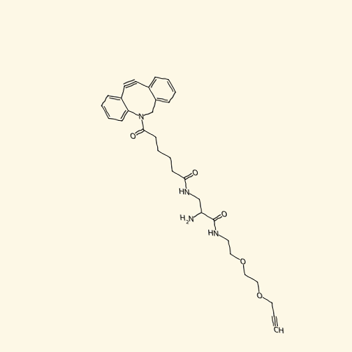 C#CCOCCOCCNC(=O)C(N)CNC(=O)CCCCC(=O)N1Cc2ccccc2C#Cc2ccccc21